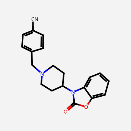 N#Cc1ccc(CN2CCC(n3c(=O)oc4ccccc43)CC2)cc1